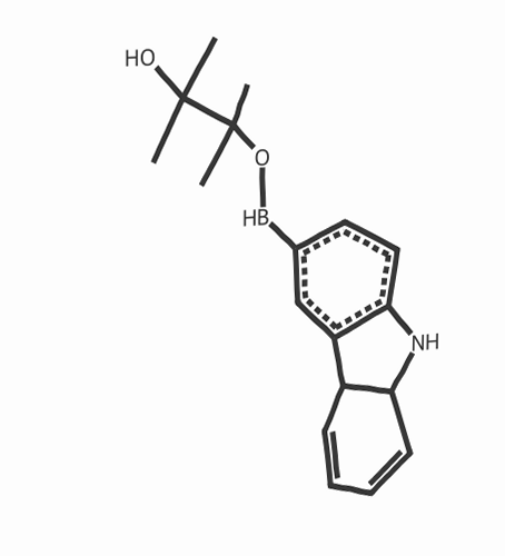 CC(C)(O)C(C)(C)OBc1ccc2c(c1)C1C=CC=CC1N2